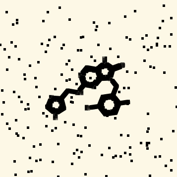 Cc1ccc(Br)cc1Cn1c(=O)[nH]c2cnc(NCc3c[nH]cn3)nc21